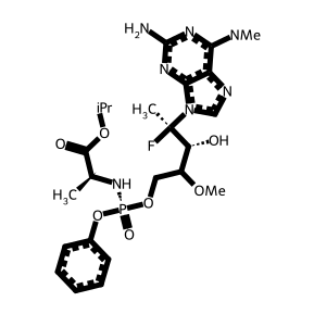 CNc1nc(N)nc2c1ncn2[C@](C)(F)[C@H](O)C(CO[P@](=O)(N[C@@H](C)C(=O)OC(C)C)Oc1ccccc1)OC